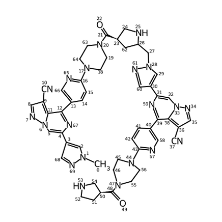 Cn1cc(-c2cn3ncc(C#N)c3c(-c3ccc(N4CCN(C(=O)[C@H]5CNC(Cn6cc(-c7cn8ncc(C#N)c8c(-c8ccc(N9CCN(C(=O)[C@H]%10CCNC%10)CC9)nc8)n7)cn6)C5)CC4)nc3)n2)cn1